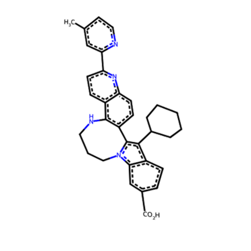 Cc1ccnc(-c2ccc3c4c(ccc3n2)-c2c(C3CCCCC3)c3ccc(C(=O)O)cc3n2CCCN4)c1